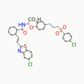 O=C(NC(Oc1ccc(CCCS(=O)(=O)c2ccc(Cl)cc2)cc1)C(=O)O)c1ccccc1C=Cc1nc2cc(Cl)ccc2s1